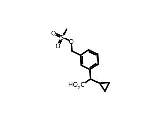 CS(=O)(=O)OCc1cccc(C(C(=O)O)C2CC2)c1